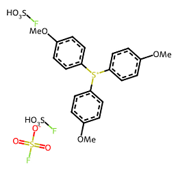 COc1ccc([S+](c2ccc(OC)cc2)c2ccc(OC)cc2)cc1.O=S(=O)(O)F.O=S(=O)(O)F.O=S(=O)([O-])F